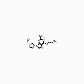 COCCOc1nc(N)nc2c1ncn2[C@H]1C=C[C@H](C[O])C1